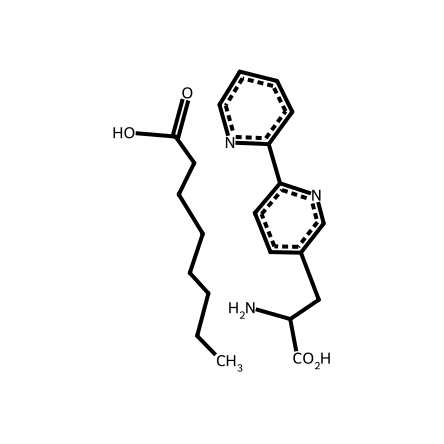 CCCCCCCC(=O)O.NC(Cc1ccc(-c2ccccn2)nc1)C(=O)O